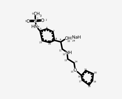 CS(=O)(=O)Nc1ccc(C(O)CNCCOc2ccccc2)cc1.[NaH]